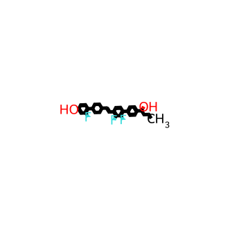 CCCC(O)c1ccc(-c2ccc(/C=C/C3CCC(c4ccc(O)cc4F)CC3)c(F)c2F)cc1